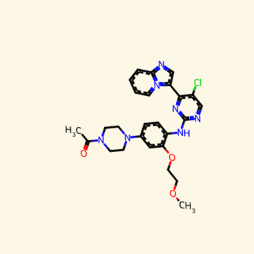 COCCOc1cc(N2CCN(C(C)=O)CC2)ccc1Nc1ncc(Cl)c(-c2cnc3ccccn23)n1